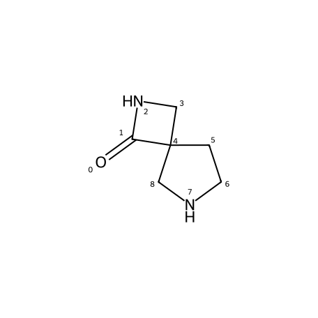 O=C1NCC12CCNC2